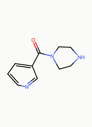 O=C(c1cccnc1)N1CCNCC1